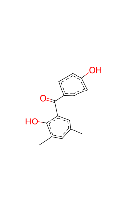 Cc1cc(C)c(O)c(C(=O)c2ccc(O)cc2)c1